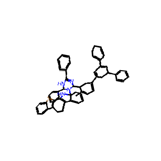 CC1=CC=C(C2=CC(C3=CCCC=C3)=CC(c3ccccc3)C2)CC1C1N=C(c2ccccc2)NC(c2ccccc2)N1C12CC=CC=C1C1=C(N2)c2sc3ccccc3c2CC1